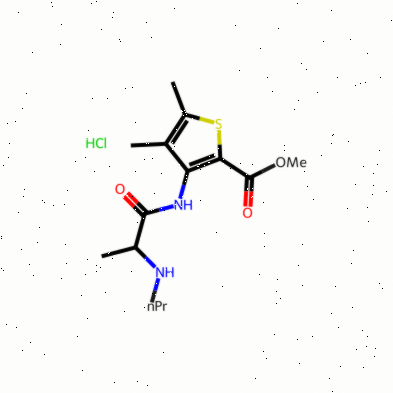 CCCNC(C)C(=O)Nc1c(C(=O)OC)sc(C)c1C.Cl